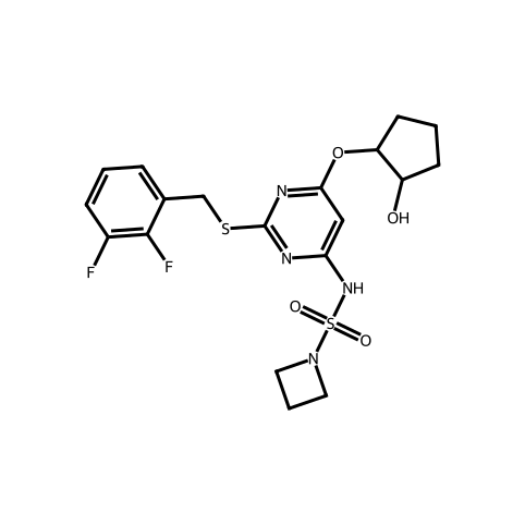 O=S(=O)(Nc1cc(OC2CCCC2O)nc(SCc2cccc(F)c2F)n1)N1CCC1